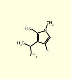 Cc1c(C(C)C)c(F)cn1C